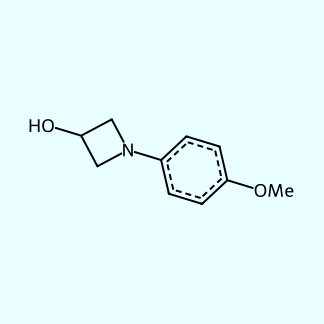 COc1ccc(N2CC(O)C2)cc1